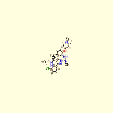 CC(NC(=O)O)C1CN(C(=NC#N)Nc2cc(C(F)(F)F)ccc2OC2CCN(C)CC2)N=C1c1ccc(Cl)c(Cl)c1